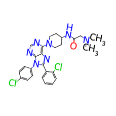 CN(C)CC(=O)NC1CCN(c2ncnc3c2nc(-c2ccccc2Cl)n3-c2ccc(Cl)cc2)CC1